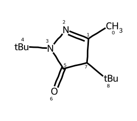 CC1=NN(C(C)(C)C)C(=O)C1C(C)(C)C